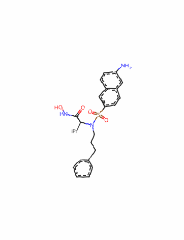 CC(C)C(C(=O)NO)N(CCCc1ccccc1)S(=O)(=O)c1ccc2cc(N)ccc2c1